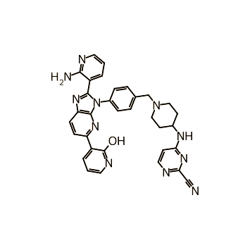 N#Cc1nccc(NC2CCN(Cc3ccc(-n4c(-c5cccnc5N)nc5ccc(-c6cccnc6O)nc54)cc3)CC2)n1